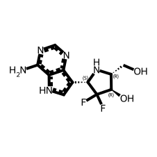 Nc1ncnc2c([C@@H]3N[C@H](CO)[C@@H](O)C3(F)F)c[nH]c12